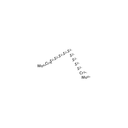 [Cr+3].[Cr+3].[Mo+6].[Mo+6].[S-2].[S-2].[S-2].[S-2].[S-2].[S-2].[S-2].[S-2].[S-2]